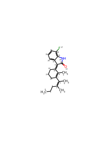 CCC/C(C)=C(/C)C1=C(C)/C(=C2\C(=O)Nc3c(F)cccc32)CCC1